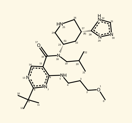 COCCCNc1nc(C(C)(C)C)ncc1C(=O)N(CC(C)C)[C@@H]1CNC[C@H](c2nnc[nH]2)C1